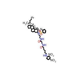 CC(C)CCCC(C)[C@H]1CCC2C3CC=C4C[C@@H](N(CCCNC(=O)CCNC(=O)CCCCCNc5ccc([N+](=O)[O-])cc5[N+](=O)[O-])S(=O)(=O)c5ccccc5[N+](=O)[O-])CC[C@]4(C)C3CC[C@@]21C